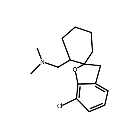 CN(C)CC1CCCCC12Cc1cccc(Cl)c1O2